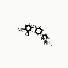 N#Cc1ccc(O[C@H]2CC[C@H](c3ccn(N)n3)CC2)cc1Cl